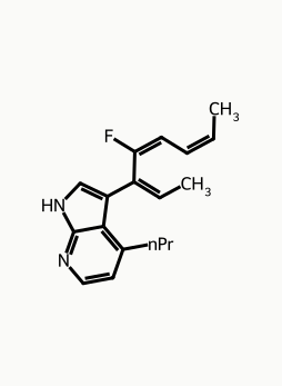 C\C=C/C=C(F)\C(=C/C)c1c[nH]c2nccc(CCC)c12